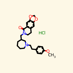 COc1ccc(CCN2CCCCC(CN3CCc4cc5c(cc4C3=O)OCO5)C2)cc1.Cl